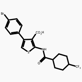 O=C(O)c1c(-c2ccc(Br)cc2)csc1NC(=O)C1CCC(C(F)(F)F)CC1